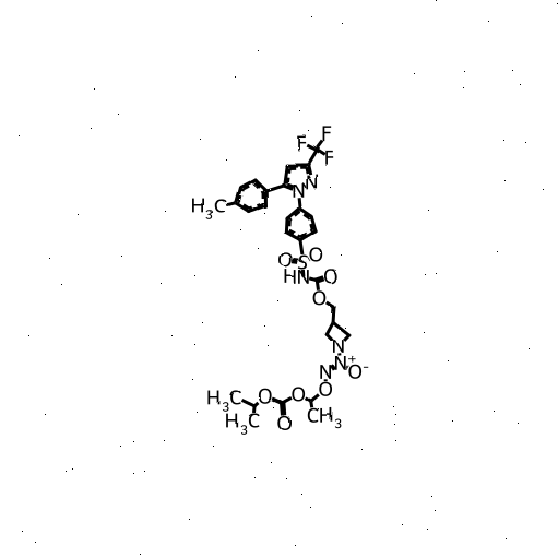 Cc1ccc(-c2cc(C(F)(F)F)nn2-c2ccc(S(=O)(=O)NC(=O)OCC3CN([N+]([O-])=NOC(C)OC(=O)OC(C)C)C3)cc2)cc1